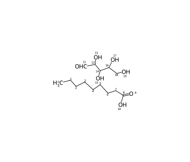 CCCCCCCCC(=O)O.O=CC(O)C(O)C(O)CO